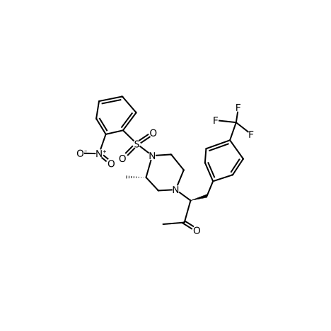 CC(=O)[C@H](Cc1ccc(C(F)(F)F)cc1)N1CCN(S(=O)(=O)c2ccccc2[N+](=O)[O-])[C@@H](C)C1